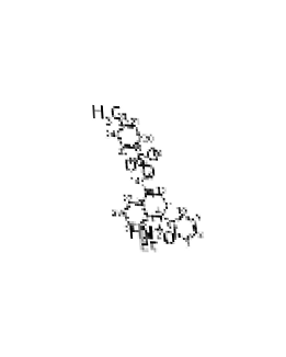 CCNC(=O)C1(c2ccccc2)CC[C@@H](COS(=O)(=O)c2ccc(C)cc2)c2ccccc21